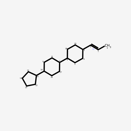 C/C=C/C1CCC(C2CCC(C3CCCC3)CC2)CC1